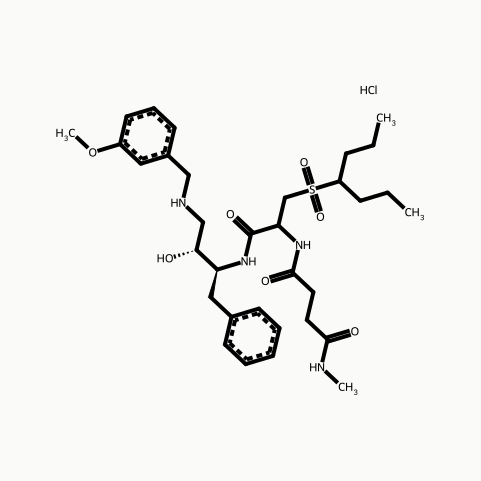 CCCC(CCC)S(=O)(=O)CC(NC(=O)CCC(=O)NC)C(=O)N[C@@H](Cc1ccccc1)[C@H](O)CNCc1cccc(OC)c1.Cl